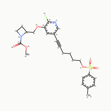 Cc1ccc(S(=O)(=O)OCCCCC#Cc2cnc(F)c(OCC3CCN3C(=O)OC(C)(C)C)c2)cc1